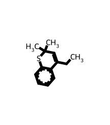 CCC1=CC(C)(C)Sc2ccccc21